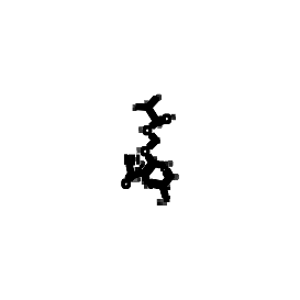 CC(C)C(=O)OCOc1ncc(F)nc1C(N)=O